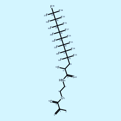 C=C(C)C(=O)OCCNC(=S)C(F)CC(F)(F)C(F)(F)C(F)(F)C(F)(F)C(F)(F)C(F)(F)C(F)(F)C(F)(F)F